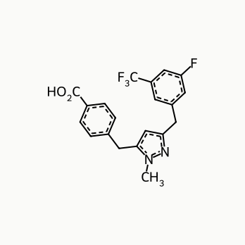 Cn1nc(Cc2cc(F)cc(C(F)(F)F)c2)cc1Cc1ccc(C(=O)O)cc1